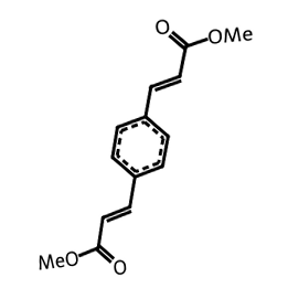 COC(=O)/C=C/c1ccc(/C=C/C(=O)OC)cc1